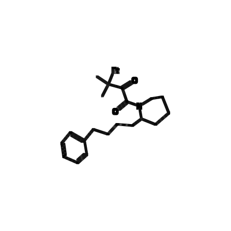 CCC(C)(C)C(=O)C(=O)N1CCCCC1CCCCc1ccccc1